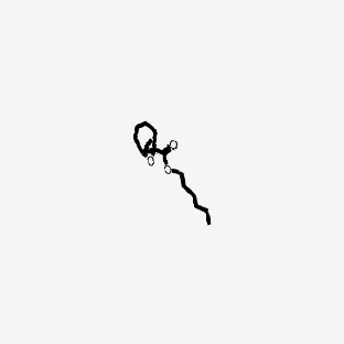 CCCCCCOC(=O)C12CCCCC1(C)O2